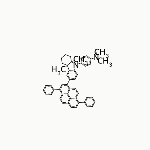 CN(C)c1ccc(N2c3ccc(-c4cc(-c5ccccc5)c5ccc6ccc(-c7ccccc7)c7ccc4c5c67)cc3C3(C)CCCCC23C)cc1